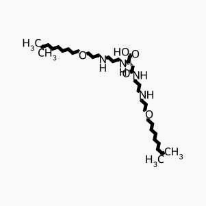 CC(C)CCCCCCCOCCCNCCCNC(=O)C[C@H](NCCCNCCCOCCCCCCCC(C)C)C(=O)O